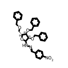 O=[N+]([O-])c1ccc(C=NNC2O[C@H](COCc3ccccc3)[C@@H](OCc3ccccc3)[C@H]2OCc2ccccc2)cc1